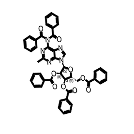 Cc1nc(N(C(=O)c2ccccc2)C(=O)c2ccccc2)c2ncn([C@H]3O[C@H](COC(=O)c4ccccc4)[C@@H](OC(=O)c4ccccc4)[C@H]3OC(=O)c3ccccc3)c2n1